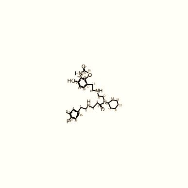 Cc1cc(CCNCCC(=O)N(CCNCCc2ccc(O)c3c2OCC(=O)N3)C2CCCCC2)ccc1F